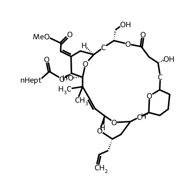 C=CC[C@H]1CC2C[C@H]3CCCC(C[C@@H](O)CC(=O)O[C@@H](CO)C[C@@H]4C/C(=C\C(=O)OC)[C@H](OC(=O)CCCCCCC)[C@@](O)(O4)C(C)(C)/C=C/[C@H](O2)O1)O3